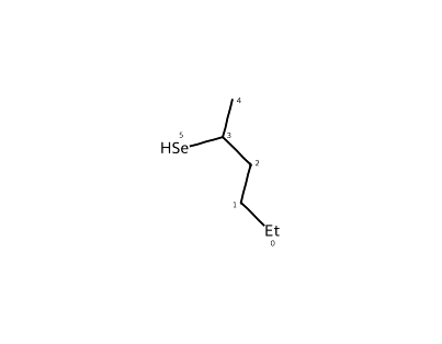 CCCCC(C)[SeH]